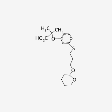 CC(C)(Oc1cccc(SCCCOC2CCCCO2)c1)C(=O)O